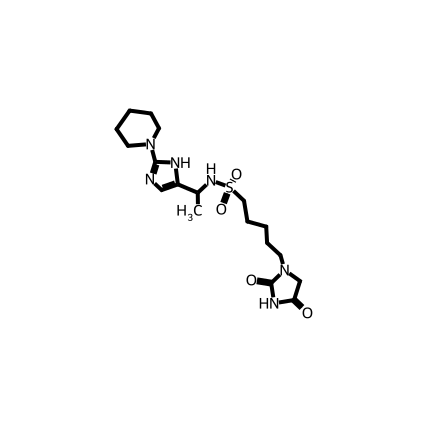 CC(NS(=O)(=O)CCCCCN1CC(=O)NC1=O)c1cnc(N2CCCCC2)[nH]1